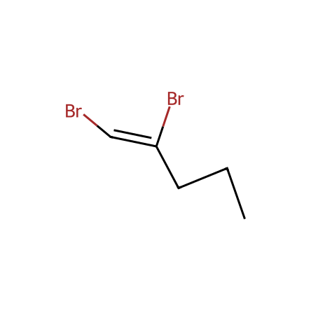 CCC/C(Br)=C/Br